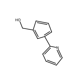 OCc1cccc(-c2ccccn2)c1